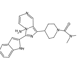 CN(C)C(=O)N1CCC(C2=C3C=NC=C[N+]3(N)C(c3cc4ccccc4[nH]3)=N2)CC1